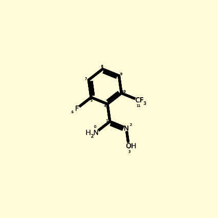 NC(=NO)c1c(F)cccc1C(F)(F)F